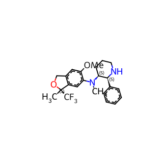 COc1cc2c(cc1N(C)[C@H]1CCCN[C@H]1c1ccccc1)[C@@](C)(C(F)(F)F)OC2